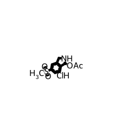 CC(=O)OC1NCc2cc(S(C)(=O)=O)ccc21.Cl